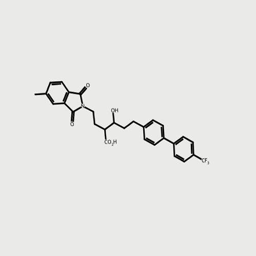 Cc1ccc2c(c1)C(=O)N(CCC(C(=O)O)C(O)CCc1ccc(-c3ccc(C(F)(F)F)cc3)cc1)C2=O